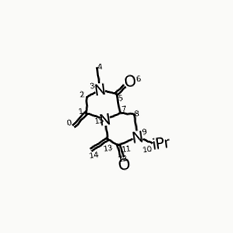 C=C1CN(C)C(=O)C2CN(C(C)C)C(=O)C(=C)N12